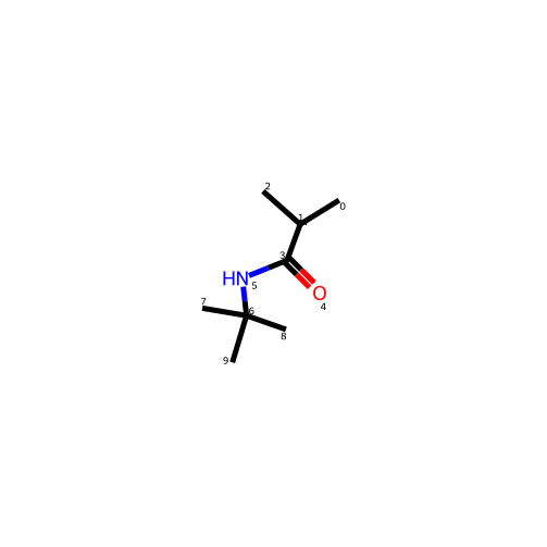 C[C](C)C(=O)NC(C)(C)C